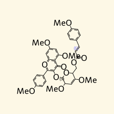 COC1=CC(OC)[C@H](Oc2c(-c3ccc(OC)cc3)oc3cc(OC)cc(OC)c3c2=O)OC1COC(=O)/C=C/c1ccc(OC)cc1